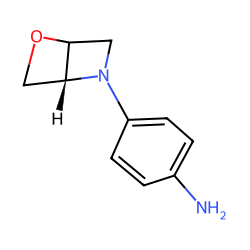 Nc1ccc(N2CC3OC[C@H]32)cc1